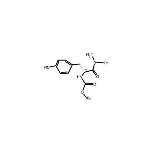 CC(C)N(C)C(=O)[C@@H](Cc1ccc(C#N)cc1)NC(=O)OC(C)(C)C